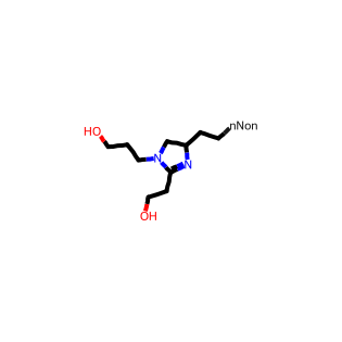 CCCCCCCCCCCC1CN(CCCO)C(CCO)=N1